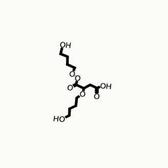 O=C(O)CC(OCCCCO)C(=O)OOCCCCO